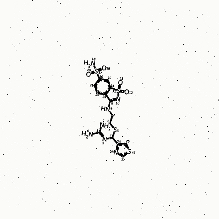 NC(N)=NC(SCCNC1=NS(=O)(=O)c2cc(S(N)(=O)=O)ccc21)c1cscn1